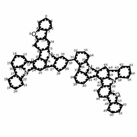 c1ccc2c(c1)oc1cc3c4c5c6cccc7c8ccccc8n(c5cc5c8ccc(-c9cccc%10c9c9cccc%11c%12c%13c%14ccc%15c%16ccccc%16oc%15c%14n%14c%15ccccc%15c(cc%12n%10c9%11)c%13%14)cc8n(c3cc12)c54)c76